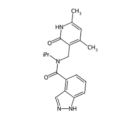 Cc1cc(C)c(CN(C(=O)c2cccc3[nH]ncc23)C(C)C)c(=O)[nH]1